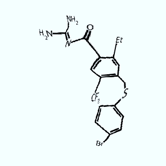 CCc1cc(Sc2ccc(Br)cc2)c(C(F)(F)F)cc1C(=O)N=C(N)N